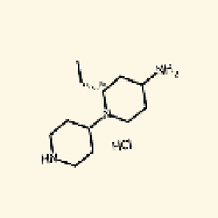 CC[C@@H]1CC(N)CCN1C1CCNCC1.Cl